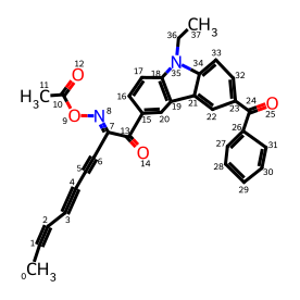 CC#CC#CC#CC(=NOC(C)=O)C(=O)c1ccc2c(c1)c1cc(C(=O)c3ccccc3)ccc1n2CC